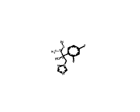 CC(=O)S[C@@H](C)[C@@](O)(Cn1cncn1)c1ccc(F)cc1F